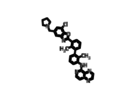 Cc1c(Nc2nccc3nccnc23)cccc1-c1cccc(-c2nc3cc(CN4CCCC4)cc(Cl)c3o2)c1C